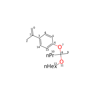 C=C(C)c1ccc(OC(C)(CCC)OCCCCCC)cc1